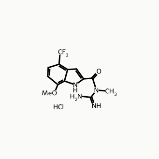 COc1ccc(C(F)(F)F)c2cc(C(=O)N(C)C(=N)N)[nH]c12.Cl